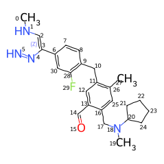 CN/C=C(\N=N)c1ccc(Cc2cc(C=O)c(CN(C)C3CCCC3)cc2C)c(F)c1